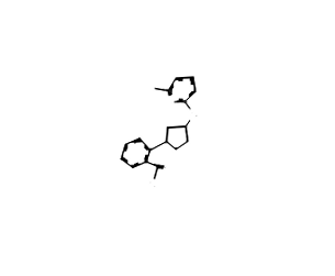 Cc1cccc(NC2CCC(c3ccccc3C(N)=O)C2)n1